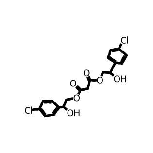 O=C(CC(=O)OCC(O)c1ccc(Cl)cc1)OCC(O)c1ccc(Cl)cc1